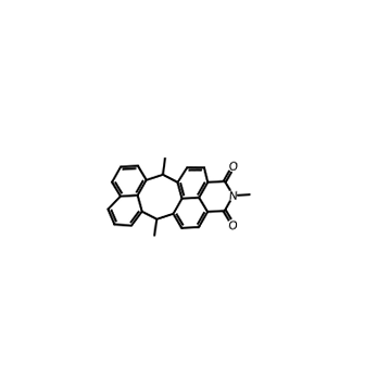 CC1c2cccc3cccc(c23)C(C)c2ccc3c4c(ccc1c24)C(=O)N(C)C3=O